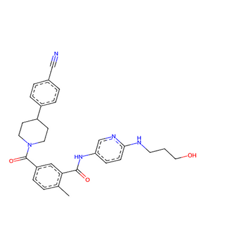 Cc1ccc(C(=O)N2CCC(c3ccc(C#N)cc3)CC2)cc1C(=O)Nc1ccc(NCCCO)nc1